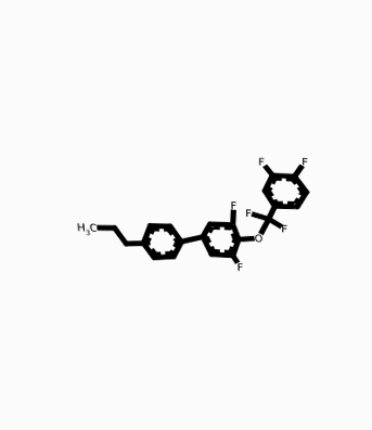 CCCc1ccc(-c2cc(F)c(OC(F)(F)c3ccc(F)c(F)c3)c(F)c2)cc1